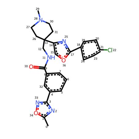 Cc1nc(-c2cccc(C(=O)NCC3(c4coc(-c5ccc(Cl)cc5)n4)CCN(C)CC3)c2)no1